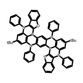 CC(C)(C)c1cc2c3c(c1)N(c1ccccc1)c1c(oc4ccccc14)B3c1cc3c(cc1N2c1ccccc1)B1c2sc4ccccc4c2N(c2ccccc2)c2cc(C(C)(C)C)cc(c21)N3c1ccccc1